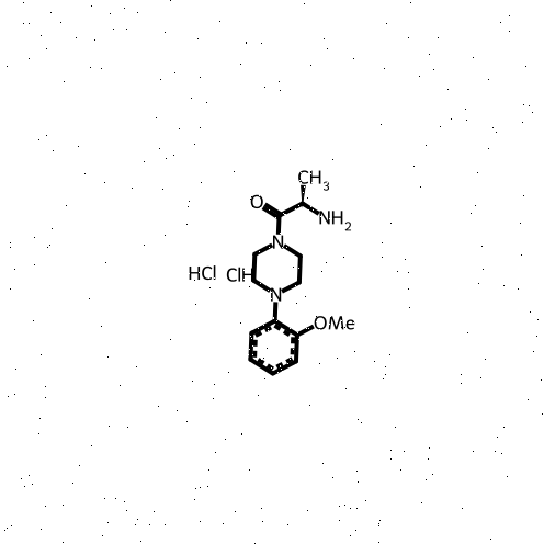 COc1ccccc1N1CCN(C(=O)[C@@H](C)N)CC1.Cl.Cl